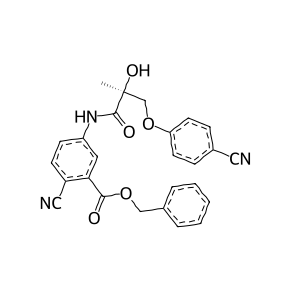 C[C@](O)(COc1ccc(C#N)cc1)C(=O)Nc1ccc(C#N)c(C(=O)OCc2ccccc2)c1